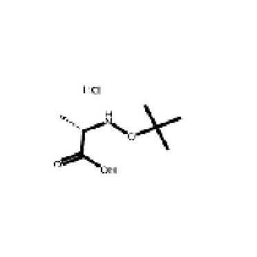 C[C@H](NOC(C)(C)C)C(=O)O.Cl